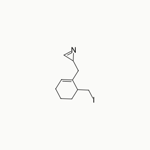 ICC1CCCC=C1CC1C=N1